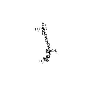 C=C(C)C(=O)NCCOCCOCCOCCn1nnc(CN2CC(S(C)(=O)=O)C2)c1C